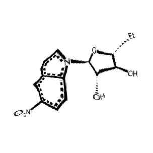 CC[C@H]1O[C@H](n2ccc3cc([N+](=O)[O-])ccc32)[C@@H](O)C1O